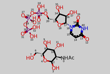 CC(=O)N[C@H]1C(O)O[C@H](CO)[C@@H](O)[C@@H]1O.O=c1ccn([C@@H]2O[C@H](COP(=O)(O)OP(=O)(O)OP(=O)(O)O)[C@@H](O)[C@H]2O)c(=O)[nH]1